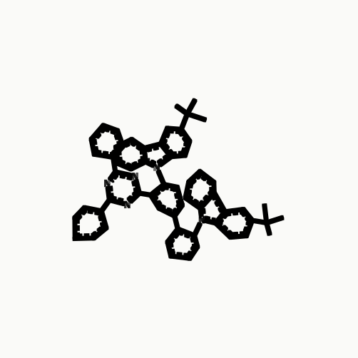 CC(C)(C)c1ccc2c(c1)c1ccccc1n2-c1ccccc1-c1ccc(-n2c3ccccc3c3cc(C(C)(C)C)ccc32)c(-c2nc(-c3ccccc3)nc(-c3ccccc3)n2)c1